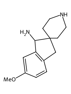 COc1ccc2c(c1)C(N)C1(CCNCC1)C2